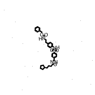 O=C(NCCc1ccc(NS(=O)(=O)c2ccc(-c3noc(CCCC4CCCC4)n3)cc2)cc1)OCc1ccccc1